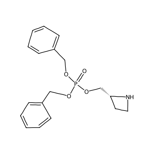 O=P(OCc1ccccc1)(OCc1ccccc1)OC[C@H]1CCN1